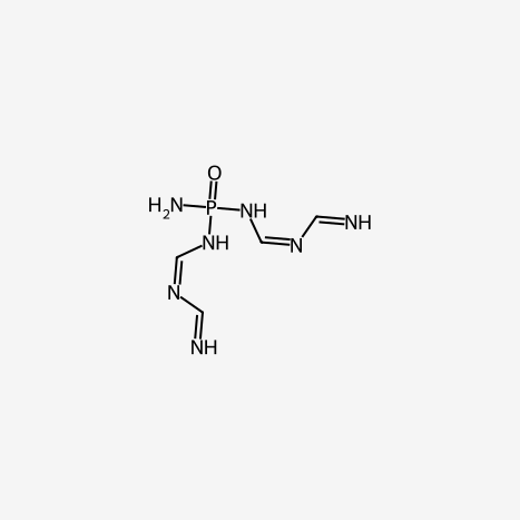 N=C/N=C\NP(N)(=O)N/C=N\C=N